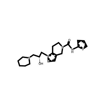 O=C(Nc1cccs1)N1CCc2c(cnn2C[C@H](O)CN2CCCCC2)C1